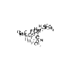 CC(C)Oc1ccc(-c2cn(COCC[Si](C)(C)C)c3nccc(Oc4c(F)cc(NC(=O)NCC5(F)COC5)cc4F)c23)cc1C#N